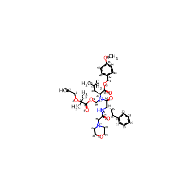 C#CCOC(C)(C)C(=O)OCN(C(=O)[C@H](CCc1ccccc1)NC(=O)CN1CCOCC1)[C@@H](CC(C)C)C(=O)OCc1ccc(OC)cc1